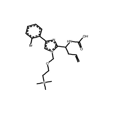 C=CCC(NC(=O)O)c1nc(-c2ccccc2Br)cn1COCC[Si](C)(C)C